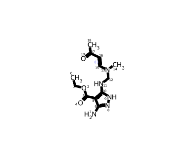 CCOC(=O)c1c(N)n[nH]c1NCN(C)/C=C/C(C)=O